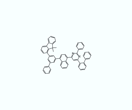 CC1(C)c2ccccc2-c2cccc(-c3cc(-c4ccccc4)cc(-c4ccc(-c5cc(-c6ccccc6-c6ccccc6)nc(-c6ccccc6)n5)c5ccccc45)c3)c21